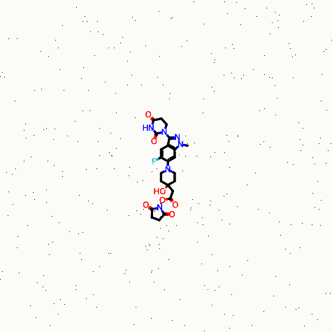 Cn1nc(N2CCC(=O)NC2=O)c2cc(F)c(N3CCC(O)(CC(=O)ON4C(=O)CCC4=O)CC3)cc21